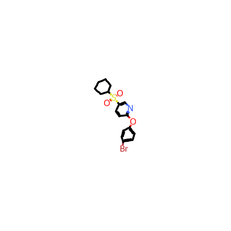 O=S(=O)(c1ccc(Oc2ccc(Br)cc2)nc1)C1CCCCC1